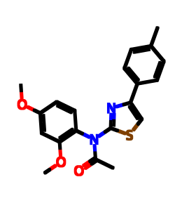 COc1ccc(N(C(C)=O)c2nc(-c3ccc(C)cc3)cs2)c(OC)c1